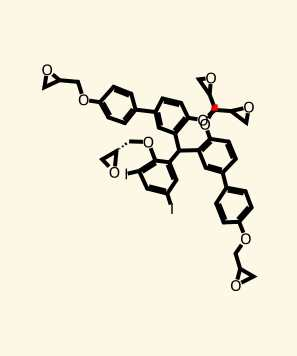 Ic1cc(I)c(OC[C@H]2CO2)c(C(c2cc(-c3ccc(OCC4CO4)cc3)ccc2OCC2CO2)c2cc(-c3ccc(OCC4CO4)cc3)ccc2OCC2CO2)c1